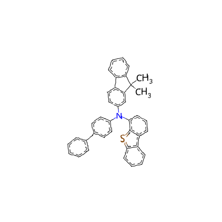 CC1(C)c2ccccc2-c2ccc(N(c3ccc(-c4ccccc4)cc3)c3cccc4c3sc3ccccc34)cc21